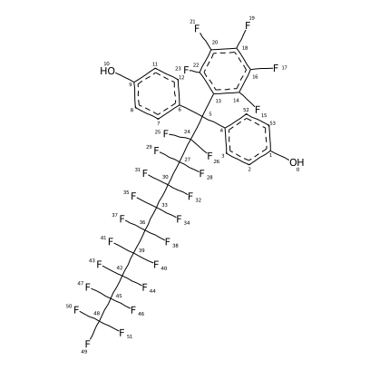 Oc1ccc(C(c2ccc(O)cc2)(c2c(F)c(F)c(F)c(F)c2F)C(F)(F)C(F)(F)C(F)(F)C(F)(F)C(F)(F)C(F)(F)C(F)(F)C(F)(F)C(F)(F)F)cc1